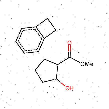 COC(=O)C1CCCC1O.c1ccc2c(c1)CC2